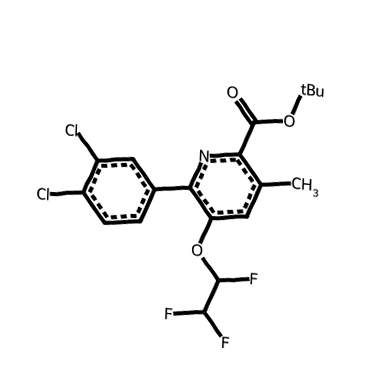 Cc1cc(OC(F)C(F)F)c(-c2ccc(Cl)c(Cl)c2)nc1C(=O)OC(C)(C)C